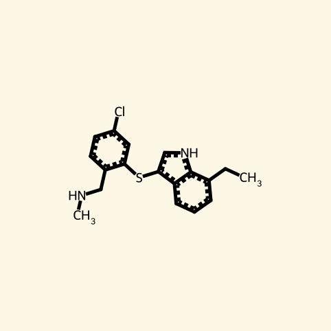 CCc1cccc2c(Sc3cc(Cl)ccc3CNC)c[nH]c12